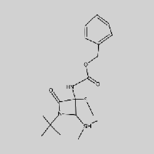 CSC1(NC(=O)OCc2ccccc2)C(=O)N(C(C)(C)C)C1[SiH](C)C